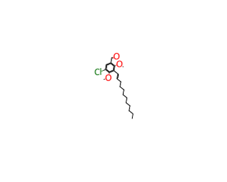 CCCCCCCCCCC=Cc1c(OC)c(Cl)cc(C=O)c1OC